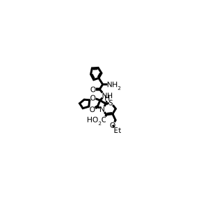 CCOCC1=C(C(=O)O)N2C(=O)C(NC(=O)C(N)c3ccccc3)(OC3CCCC3)[C@@H]2SC1